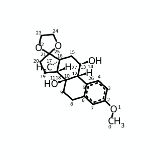 COc1ccc2c(c1)CC[C@@]1(O)[C@@H]2[C@H](O)C[C@@]2(C)[C@H]1CCC21OCCO1